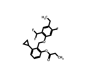 CCC(=O)Oc1cccc(C2CC2)c1COc1cc(F)c(CC)cc1C(F)F